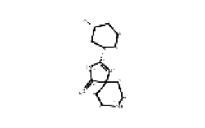 C[C@@H]1CCC[C@H](C2=NC3(CCNCC3)C(=O)N2)C1